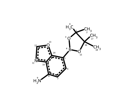 CC1(C)OB(c2ccc(N)c3ncoc23)OC1(C)C